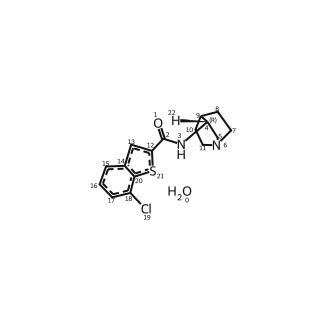 O.O=C(N[C@H]1CN2CCC1CC2)c1cc2cccc(Cl)c2s1